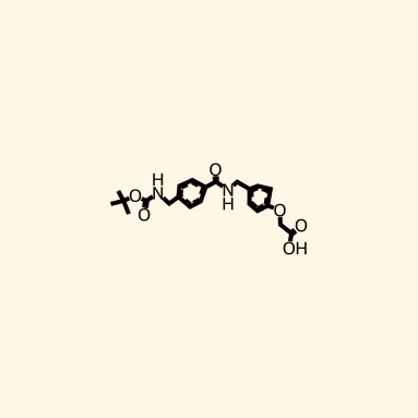 CC(C)(C)OC(=O)NCc1ccc(C(=O)NCc2ccc(OCC(=O)O)cc2)cc1